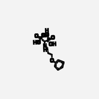 O=P(O)(O)C(NCCCOc1ccccc1)P(=O)(O)O